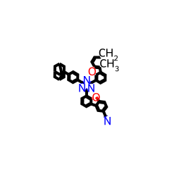 C=C/C=C\c1oc2c(-c3nc(-c4ccc(C56CC7CC(CC(C7)C5)C6)cc4)nc(-c4cccc5c4oc4ccc(C#N)cc45)n3)cccc2c1C